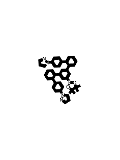 CC1(C)OB(c2cc(-c3ccccc3-c3ccc(-n4cccn4)cc3)cc(-c3ccccc3-c3ccc(-n4cccn4)cc3)c2)OC1(C)C